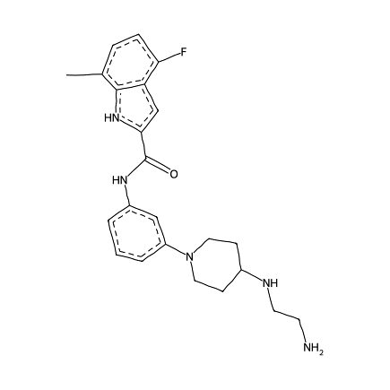 Cc1ccc(F)c2cc(C(=O)Nc3cccc(N4CCC(NCCN)CC4)c3)[nH]c12